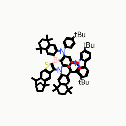 CC1c2cc3sc4c(c3cc2C2(C)CCC1C2)N(c1cc2c(cc1-c1ccccc1)C(C)(C)CCC2(C)C)c1cc(-n2c3cc(C(C)(C)C)ccc3c3ccc(C(C)(C)C)cc32)cc2c1B4c1cc3c(cc1N2c1ccc(C(C)(C)C)cc1)C(C)(C)CCC3(C)C